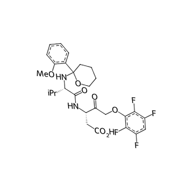 COc1ccccc1C1(N[C@H](C(=O)N[C@@H](CC(=O)O)C(=O)COc2c(F)c(F)cc(F)c2F)C(C)C)CCCCO1